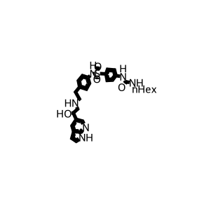 CCCCCCNC(=O)Nc1ccc(S(=O)(=O)Nc2ccc(CCNCC(O)c3cnc4[nH]ccc4c3)cc2)cc1